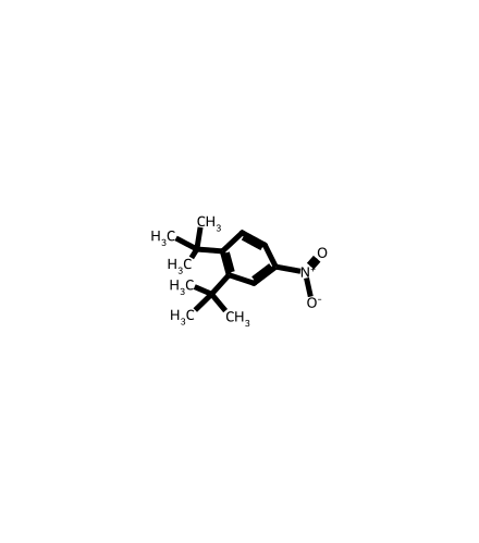 CC(C)(C)c1ccc([N+](=O)[O-])cc1C(C)(C)C